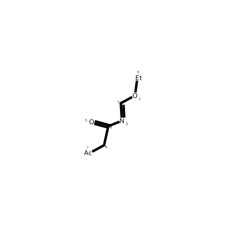 CCOC=NC(=O)CC(C)=O